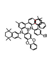 Cc1cc2c3c(c1)N(c1cc4c(cc1C)C(C)(C)CCC4(C)C)c1cc4c(cc1B3N(c1ccc(C(C)(C)C)cc1-c1ccccc1)c1c-2ccc2c1-c1ccccc1C2(C)C)Oc1ccccc1O4